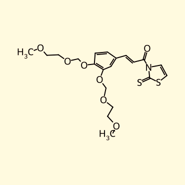 COCCOCOc1ccc(C=CC(=O)n2ccsc2=S)cc1OCOCCOC